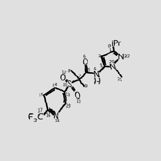 CC(C)c1cc(NC(=O)C(C)(C)S(=O)(=O)c2ccc(C(F)(F)F)nc2)n(C)n1